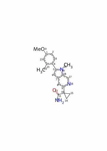 COc1ccc(-c2cc3cc(C4(C(N)=O)CC4)ncc3n2C)c(C)c1